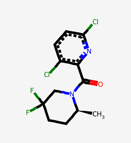 C[C@H]1CCC(F)(F)CN1C(=O)c1nc(Cl)ccc1Cl